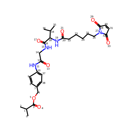 CC(C)C(=O)OCc1ccc(NC(=O)CNC(=O)C(NC(=O)CCCCCN2C(=O)C=CC2=O)C(C)C)cc1